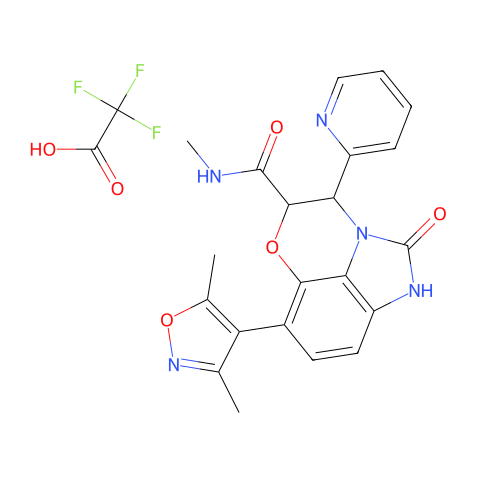 CNC(=O)C1Oc2c(-c3c(C)noc3C)ccc3[nH]c(=O)n(c23)C1c1ccccn1.O=C(O)C(F)(F)F